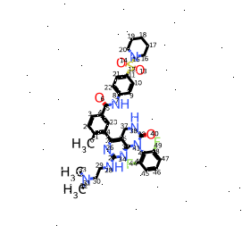 Cc1ccc(C(=O)Nc2ccc(S(=O)(=O)N3CCCCC3)cc2)cc1-c1nc(NCCN(C)C)nc2c1CNC(=O)N2c1c(F)cccc1F